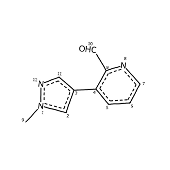 Cn1cc(-c2cccnc2C=O)cn1